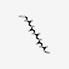 CC(C)(C)OC(=O)NCC(=O)NCC(=O)NCC(=O)NCC(=O)NCC(=O)O